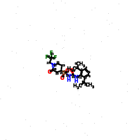 CC(C)c1cccc(C(C)C)c1NC(=O)NS(=O)(=O)C1CCN(CC(F)(F)F)C(=O)C1